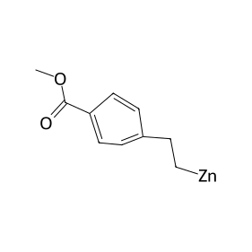 COC(=O)c1ccc(C[CH2][Zn])cc1